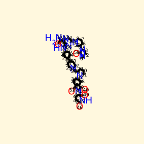 CN1CCN([C@H]2CCCN(c3cnc(C(N)=O)c(Nc4ccc(C5CCN(C[C@H]6CCCN6c6ccc7c(c6)C(=O)N(C6CCC(=O)NC6=O)C7=O)CC5)cc4)n3)C2)C1=O